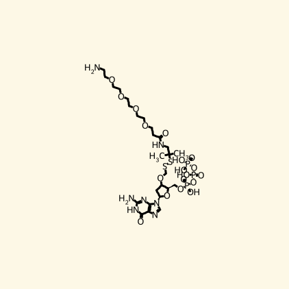 CC(C)(CNC(=O)CCOCCOCCOCCOCCN)SSCOC1C[C@H](n2cnc3c(=O)[nH]c(N)nc32)O[C@@H]1COP(=O)(O)OP(=O)(O)OP(=O)(O)O